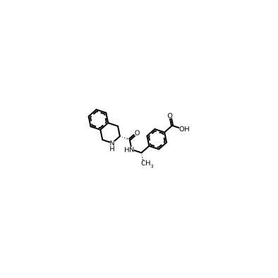 C[C@H](NC(=O)[C@H]1Cc2ccccc2CN1)c1ccc(C(=O)O)cc1